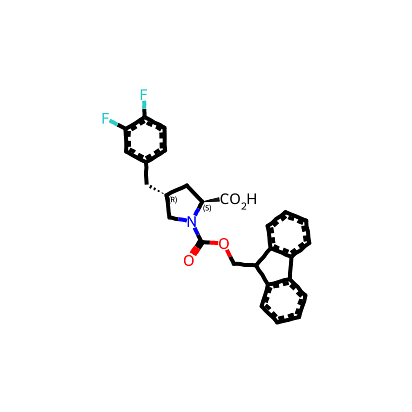 O=C(O)[C@@H]1C[C@@H](Cc2ccc(F)c(F)c2)CN1C(=O)OCC1c2ccccc2-c2ccccc21